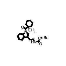 CC(C)(C)OC(=O)NCCc1cn(C(=O)C2(C)CCCCC2)c2ccccc12